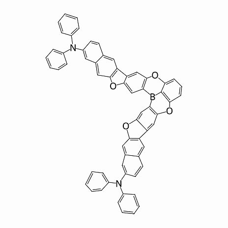 c1ccc(N(c2ccccc2)c2ccc3cc4c(cc3c2)oc2cc3c(cc24)Oc2cccc4c2B3c2cc3oc5cc6cc(N(c7ccccc7)c7ccccc7)ccc6cc5c3cc2O4)cc1